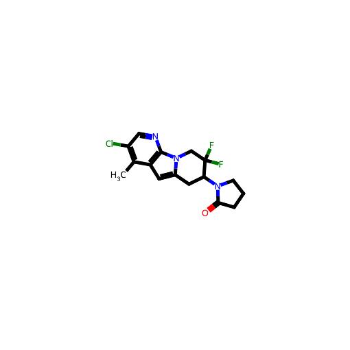 Cc1c(Cl)cnc2c1cc1n2CC(F)(F)C(N2CCCC2=O)C1